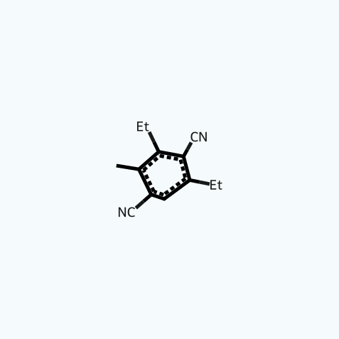 CCc1cc(C#N)c(C)c(CC)c1C#N